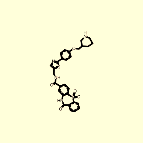 O=C(NCc1cnc(-c2ccc(OCC3CCCNC3)cc2)s1)c1ccc2c(c1)NC(=O)c1ccccc1S2(=O)=O